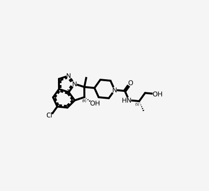 C[C@@H](CO)NC(=O)N1CCC(C2(C)[C@H](O)c3cc(Cl)cc4cnn2c34)CC1